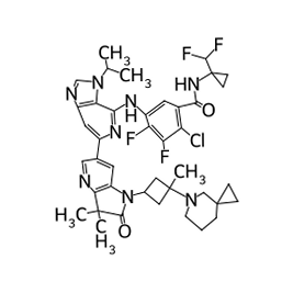 CC(C)n1cnc2cc(-c3cnc4c(c3)N(C3CC(C)(N5CCCC6(CC6)C5)C3)C(=O)C4(C)C)nc(Nc3cc(C(=O)NC4(C(F)F)CC4)c(Cl)c(F)c3F)c21